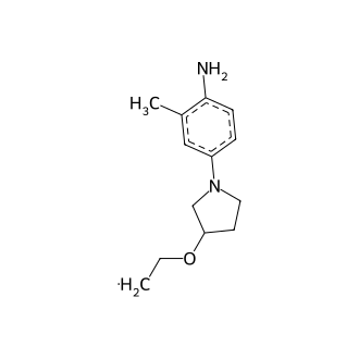 [CH2]COC1CCN(c2ccc(N)c(C)c2)C1